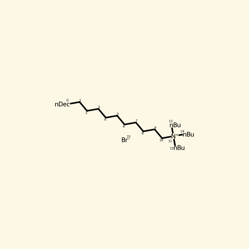 CCCCCCCCCCCCCCCCCCCC[N+](CCCC)(CCCC)CCCC.[Br-]